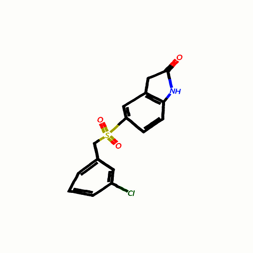 O=C1Cc2cc(S(=O)(=O)Cc3cccc(Cl)c3)ccc2N1